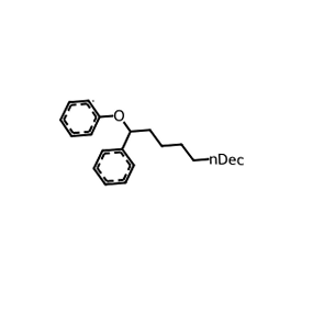 CCCCCCCCCCCCCCC(Oc1[c]cccc1)c1ccccc1